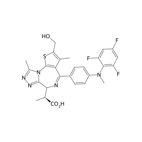 Cc1c(CO)sc2c1C(c1ccc(N(C)c3c(F)cc(F)cc3F)cc1)=NC([C@H](C)C(=O)O)c1nnc(C)n1-2